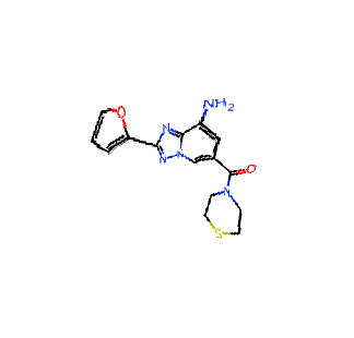 Nc1cc(C(=O)N2CCSCC2)cn2nc(-c3ccco3)nc12